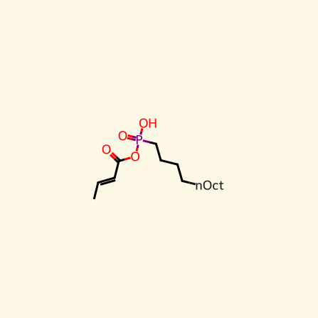 CC=CC(=O)OP(=O)(O)CCCCCCCCCCCC